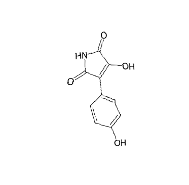 O=C1NC(=O)C(c2ccc(O)cc2)=C1O